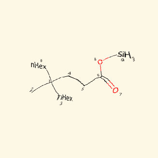 CCCCCCC(C)(CCCCCC)CCC(=O)O[SiH3]